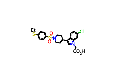 CCSc1ccc(S(=O)(=O)N2CC=C(c3cn(CC(=O)O)c4cc(Cl)ccc34)CC2)cc1